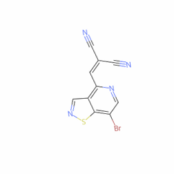 N#CC(C#N)=Cc1ncc(Br)c2sncc12